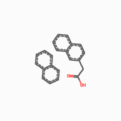 O=C(O)Cc1ccc2ccccc2c1.c1ccc2ccccc2c1